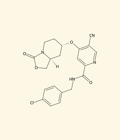 N#Cc1cnc(C(=O)NCc2ccc(Cl)cc2)cc1O[C@H]1CCN2C(=O)OC[C@@H]2C1